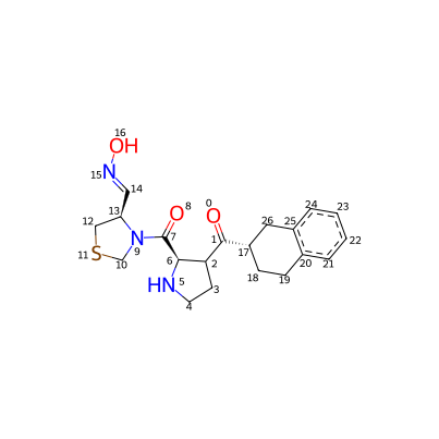 O=C(C1CCN[C@H]1C(=O)N1CSC[C@H]1C=NO)[C@H]1CCc2ccccc2C1